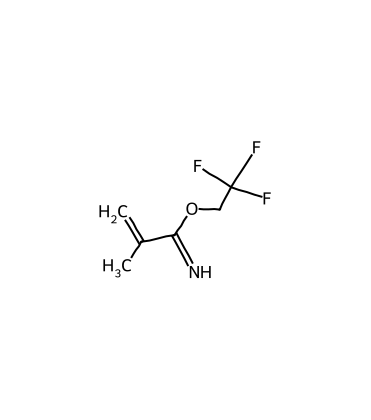 C=C(C)C(=N)OCC(F)(F)F